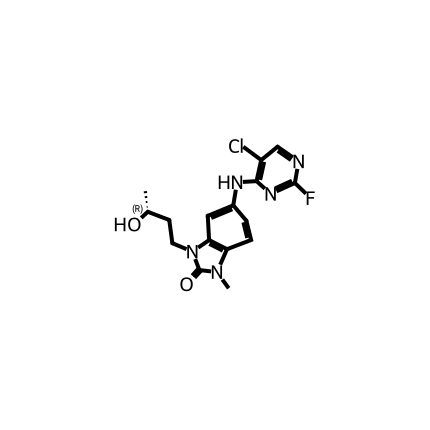 C[C@@H](O)CCn1c(=O)n(C)c2ccc(Nc3nc(F)ncc3Cl)cc21